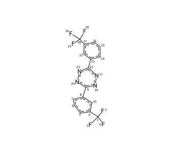 FC(F)(F)c1cccc(-c2nnc(-c3cccc(C(F)(F)F)c3)nn2)c1